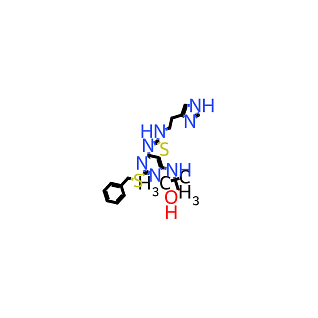 CC(C)(CO)Nc1nc(SCc2ccccc2)nc2nc(NCCc3c[nH]cn3)sc12